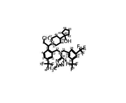 CCC(c1ccc(C(F)(F)F)cc1CN(Cc1cc(C(F)(F)F)cc(C(F)(F)F)c1)c1nnn(C)n1)N1CCC(C2(O)CCCC2)CC1